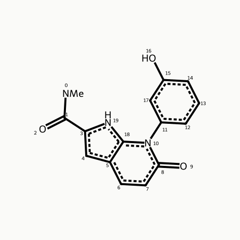 CNC(=O)c1cc2ccc(=O)n(-c3cccc(O)c3)c2[nH]1